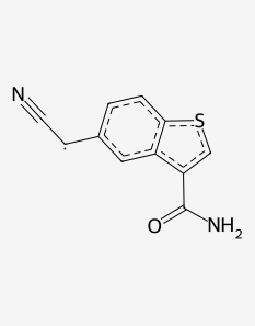 N#C[CH]c1ccc2scc(C(N)=O)c2c1